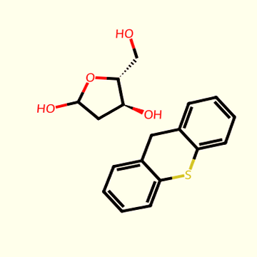 OC[C@H]1OC(O)C[C@@H]1O.c1ccc2c(c1)Cc1ccccc1S2